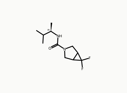 CC(C)[C@@H](C)NC(=O)N1CC2C(C1)C2(F)F